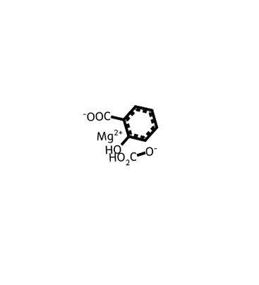 O=C([O-])O.O=C([O-])c1ccccc1O.[Mg+2]